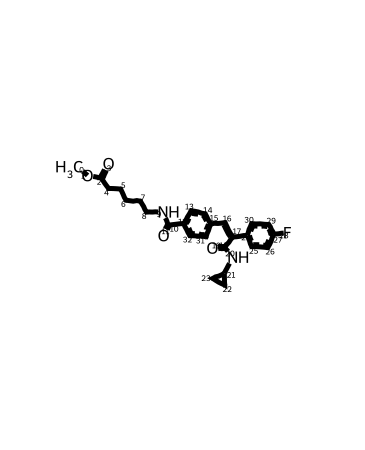 COC(=O)CCCCCNC(=O)c1ccc(C=C(C(=O)NC2CC2)c2ccc(F)cc2)cc1